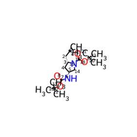 C#CC[C@H]1C[C@@H](NC(=O)OC(C)(C)C)CN1C(=O)OC(C)(C)C